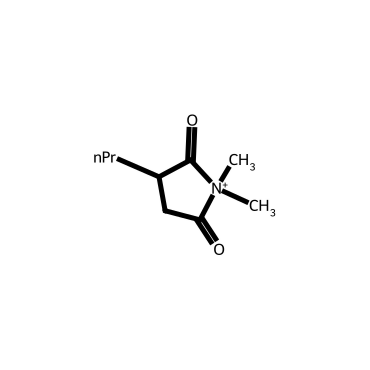 CCCC1CC(=O)[N+](C)(C)C1=O